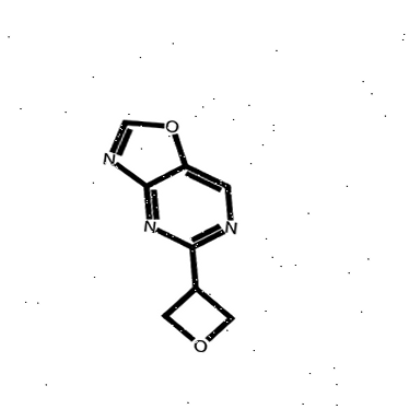 c1nc2nc(C3COC3)ncc2o1